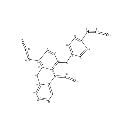 O=C=Nc1ccc(Cc2ccc(N=C=O)c(Cc3ccccc3N=C=O)c2)cc1